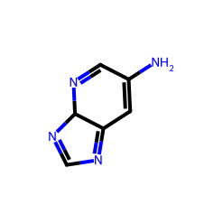 NC1=CC2=NC=NC2N=C1